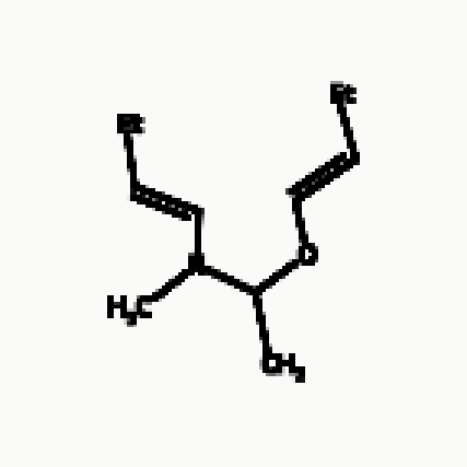 CCC=COC(C)N(C)C=CCC